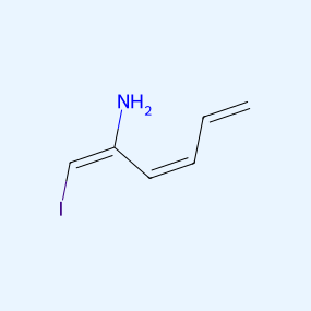 C=C/C=C\C(N)=C/I